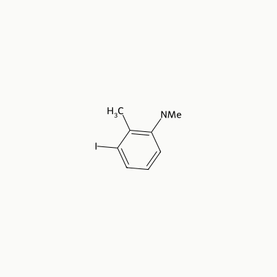 CNc1cccc(I)c1C